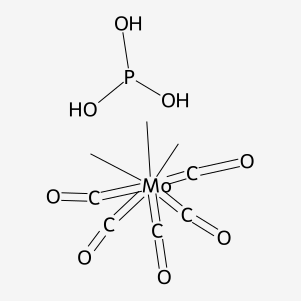 OP(O)O.[CH3][Mo]([CH3])([CH3])(=[C]=O)(=[C]=O)(=[C]=O)(=[C]=O)=[C]=O